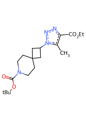 CCOC(=O)c1nnn(C2CC3(CCN(C(=O)OC(C)(C)C)CC3)C2)c1C